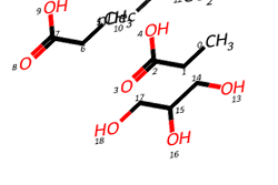 CCC(=O)O.CCC(=O)O.CCCCCCCCCCCC(=O)O.OCC(O)CO